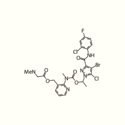 CNCC(=O)OCc1cccnc1N(C)C(=O)OC(C)n1nc(C(=O)Nc2ccc(F)cc2Cl)c(Br)c1Cl